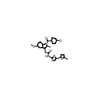 COc1ccc2c(c1)c(CC(=O)Nc1nc(-c3ccc(C)s3)cs1)c(C)n2C(=O)c1ccc(Cl)cc1